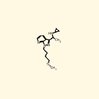 COCCCCn1nc(C(C)NC2CC2)c2cccnc21